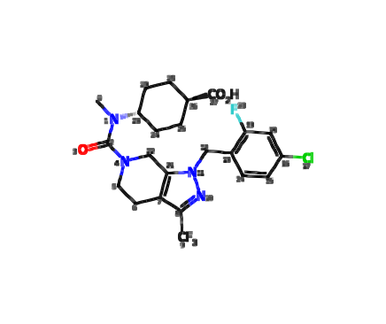 CN(C(=O)N1CCc2c(C(F)(F)F)nn(Cc3ccc(Cl)cc3F)c2C1)[C@H]1CC[C@H](C(=O)O)CC1